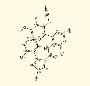 COC(=O)N(C)N(CC#N)C(=O)c1cc(Br)cc(Br)c1NC(=O)c1cc(Br)nn1-c1ncccc1Cl